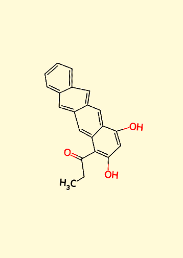 CCC(=O)c1c(O)cc(O)c2cc3cc4ccccc4cc3cc12